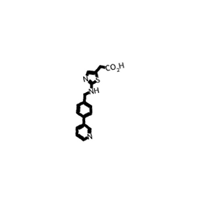 O=C(O)Cc1cnc(NCc2ccc(-c3cccnc3)cc2)s1